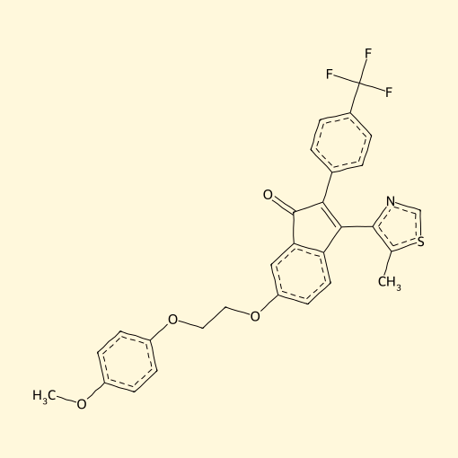 COc1ccc(OCCOc2ccc3c(c2)C(=O)C(c2ccc(C(F)(F)F)cc2)=C3c2ncsc2C)cc1